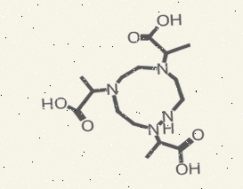 CC(C(=O)O)N1CCNN(C(C)C(=O)O)CCN(C(C)C(=O)O)CC1